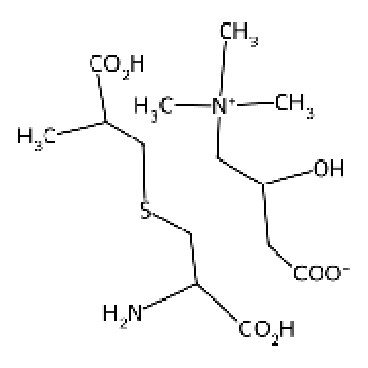 CC(CSCC(N)C(=O)O)C(=O)O.C[N+](C)(C)CC(O)CC(=O)[O-]